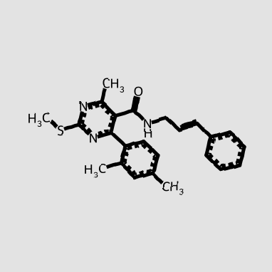 CSc1nc(C)c(C(=O)NCC=Cc2ccccc2)c(-c2ccc(C)cc2C)n1